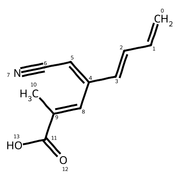 C=CC=CC(=CC#N)C=C(C)C(=O)O